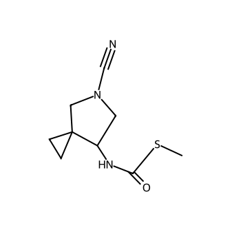 CSC(=O)NC1CN(C#N)CC12CC2